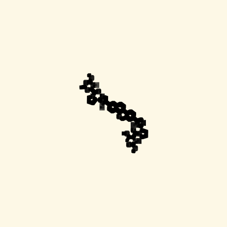 CCO[C@H](NC(=O)OC)C(=O)N1CCC[C@H]1c1ncc(-c2ccc3c4c(ccc3c2)-c2ccc(-c3cnc([C@@H]5CCCN5C(=O)[C@@H](NC(=O)OC)[C@@H](C)OC)[nH]3)cc2CO4)[nH]1